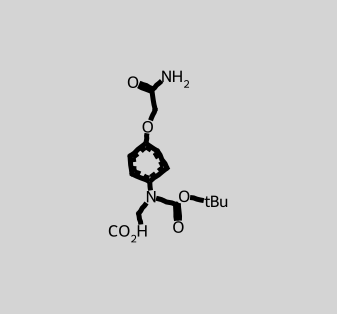 CC(C)(C)OC(=O)N(CC(=O)O)c1ccc(OCC(N)=O)cc1